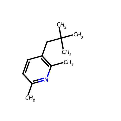 Cc1ccc(CC(C)(C)C)c(C)n1